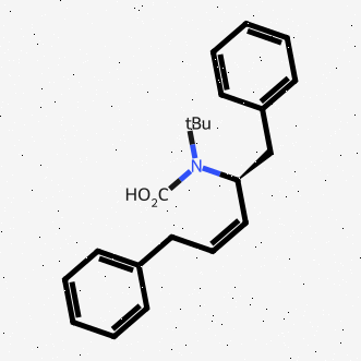 CC(C)(C)N(C(=O)O)[C@H](/C=C\Cc1ccccc1)Cc1ccccc1